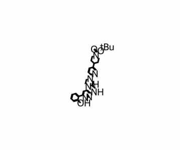 CC(C)(C)OC(=O)N1CCC(c2ccc(N3CCN4c5cc(-c6ccccc6O)nnc5NC[C@H]4C3)nc2)CC1